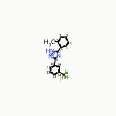 Cc1ccccc1-c1nc(-c2cccc(C(F)(F)F)c2)n[nH]1